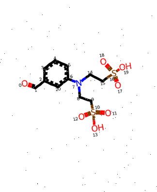 O=Cc1cccc(N(CCS(=O)(=O)O)CCS(=O)(=O)O)c1